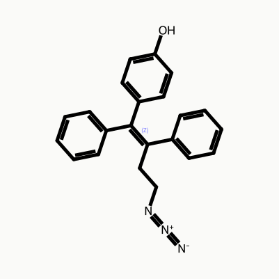 [N-]=[N+]=NCC/C(=C(\c1ccccc1)c1ccc(O)cc1)c1ccccc1